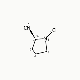 [C-]#[N+][C@@H]1CCCN1Cl